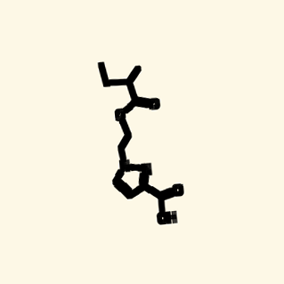 CCC(C)C(=O)OCCn1ccc(C(=O)O)n1